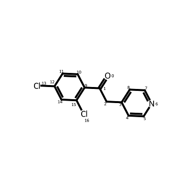 O=C(Cc1ccncc1)c1ccc(Cl)cc1Cl